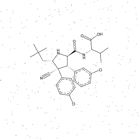 CC(C)[C@H](NC(=O)[C@@H]1N[C@@H](CC(C)(C)C)[C@](C#N)(c2ccc(Cl)cc2)[C@H]1c1cccc(Cl)c1)C(=O)O